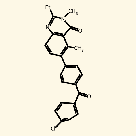 CCc1nc2ccc(-c3ccc(C(=O)c4ccc(Cl)cc4)cc3)c(C)c2c(=O)n1C